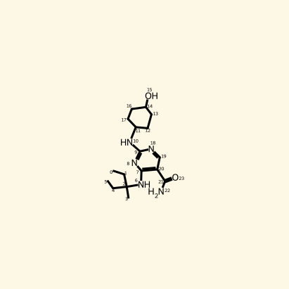 CCC(C)(CC)Nc1nc(NC2CCC(O)CC2)ncc1C(N)=O